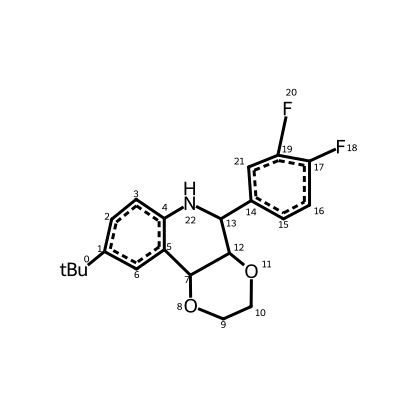 CC(C)(C)c1ccc2c(c1)C1OCCOC1C(c1ccc(F)c(F)c1)N2